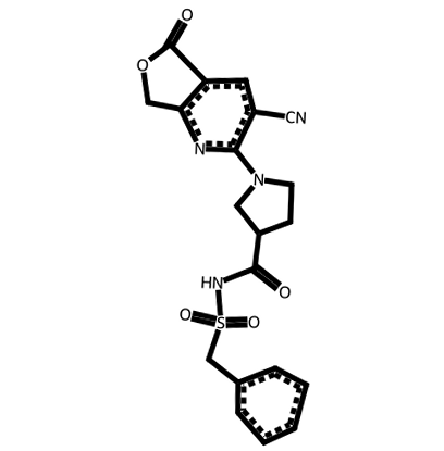 N#Cc1cc2c(nc1N1CCC(C(=O)NS(=O)(=O)Cc3ccccc3)C1)COC2=O